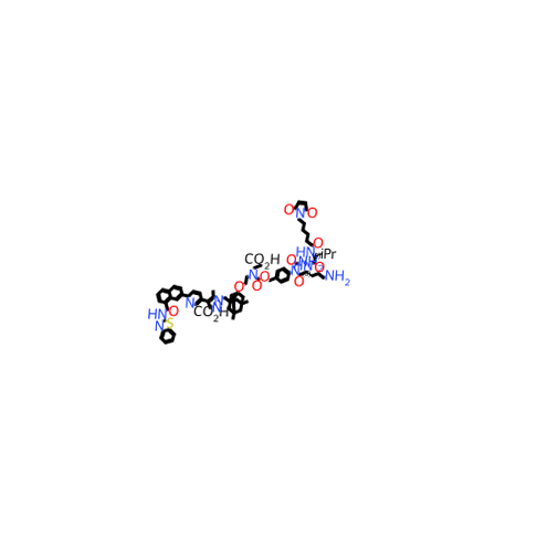 Cc1c(-c2ccc(-c3ccc4cccc(C(=O)Nc5nc6ccccc6s5)c4c3)nc2C(=O)O)cnn1CC12CC3(C)CC(C)(C1)CC(OCCN(CCC(=O)O)C(=O)OCc1ccc(N(C(N)=O)C(=O)[C@H](CCCN)NC(=O)[C@@H](NC(=O)CCCCCN4C(=O)C=CC4=O)C(C)C)cc1)(C3)C2